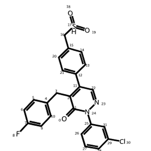 O=c1c(Cc2ccc(F)cc2)c(-c2ccc(C[SH](=O)=O)cc2)cnn1-c1cccc(Cl)c1